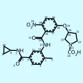 Cc1ccc(C(=O)NC2CC2)cc1NC(=O)c1cc(O[C@H]2CCN(C(=O)O)C2)ccc1[N+](=O)[O-]